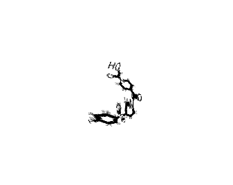 O=C(CO)N1CCC(C(=O)N2CCC(S(=O)(=O)c3ccc(F)cc3)C2)CC1